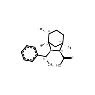 C[C@H](c1ccccc1)N1[C@@H]2C[C@@H](CC[C@H]2O)[C@H]1C(=O)O